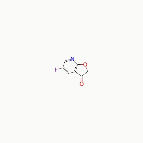 O=C1COc2ncc(I)cc21